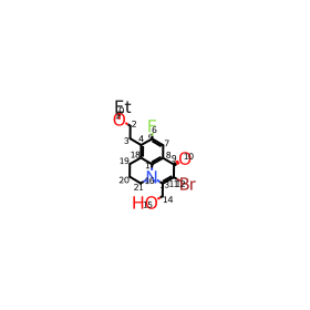 CCOCCc1c(F)cc2c(=O)c(Br)c(CO)n3c2c1CCC3